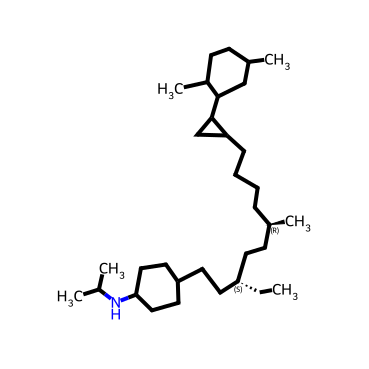 CC[C@H](CCC1CCC(NC(C)C)CC1)CC[C@H](C)CCCCC1CC1C1CC(C)CCC1C